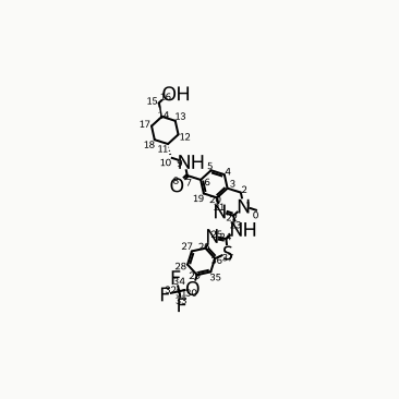 CN1Cc2ccc(C(=O)NC[C@H]3CC[C@H](CO)CC3)cc2N=C1Nc1nc2ccc(OC(F)(F)F)cc2s1